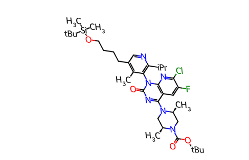 Cc1c(CCCCO[Si](C)(C)C(C)(C)C)cnc(C(C)C)c1-n1c(=O)nc(N2C[C@H](C)N(C(=O)OC(C)(C)C)C[C@@H]2C)c2cc(F)c(Cl)nc21